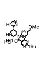 COCCCNc1nc(C(C)(C)C)ncc1C(=O)N(CC(C)C)[C@@H]1CNC[C@H](c2nnc[nH]2)C1.Cl.Cl